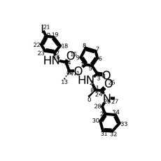 C[C@@H](NC(=O)c1ccccc1O[C@H](C)C(=O)Nc1ccc(I)cc1)C(=O)N(C)Cc1ccccc1